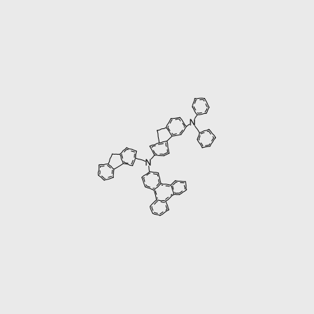 c1ccc(N(c2ccccc2)c2ccc3c(c2)-c2ccc(N(c4ccc5c(c4)-c4ccccc4C5)c4ccc5c6ccccc6c6ccccc6c5c4)cc2C3)cc1